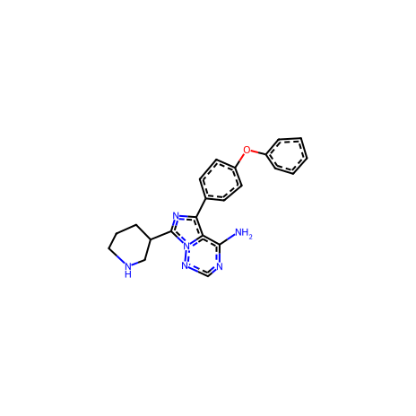 Nc1ncnn2c(C3CCCNC3)nc(-c3ccc(Oc4ccccc4)cc3)c12